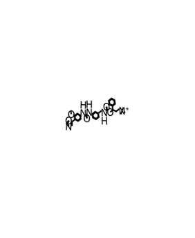 COc1cc(NC(=O)Nc2cccc(CNC(=O)OC(CC[N+](C)(C)C)c3ccccc3)c2)ccc1-c1cnco1